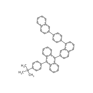 C[Si](C)(C)c1ccc(-c2c3ccccc3c(-c3ccc4cccc(-c5ccc(-c6ccc7ccccc7c6)cc5)c4c3)c3ccccc23)cc1